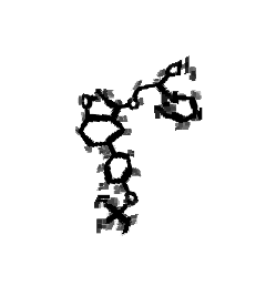 CC(COc1noc2ccc(-c3ccc(OC(F)(F)F)cc3)cc12)n1cncn1